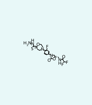 NNC(=S)N1CCN(c2ccc(N3C[C@H](CNC(=O)C(F)F)OC3=O)cc2F)CCO1